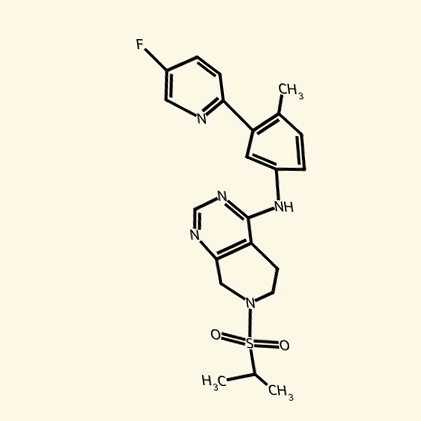 Cc1ccc(Nc2ncnc3c2CCN(S(=O)(=O)C(C)C)C3)cc1-c1ccc(F)cn1